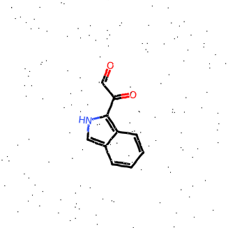 O=[C]C(=O)c1[nH]cc2ccccc12